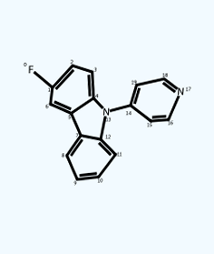 Fc1ccc2c(c1)c1ccccc1n2-c1ccncc1